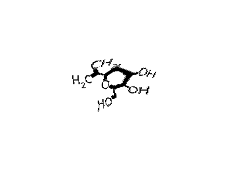 C=C(C)[C@H]1C[C@@H](O)[C@@H](O)[C@@H](CO)O1